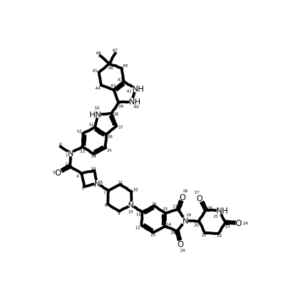 CN(C(=O)C1CN(C2CCN(c3ccc4c(c3)C(=O)N(C3CCC(=O)NC3=O)C4=O)CC2)C1)c1ccc2cc(C3NNC4=C3CCC(C)(C)C4)[nH]c2c1